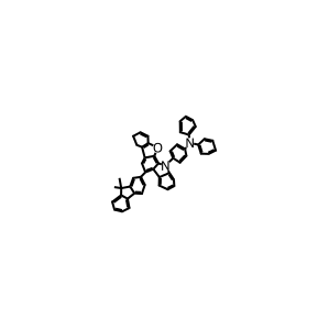 CC1(C)c2ccccc2-c2ccc(-c3cc4c5c(oc4c4c3c3ccccc3n4-c3ccc(N(c4ccccc4)c4ccccc4)cc3)C=CCC5)cc21